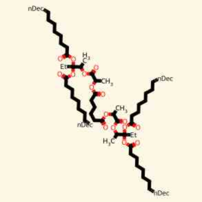 CCCCCCCCCCCCCCCCCC(=O)OC(CC)(OC(=O)CCCCCCCCCCCCCCCCC)C(C)OC(=O)C(C)OC(=O)CCCCC(=O)OC(C)C(=O)OC(C)C(CC)(OC(=O)CCCCCCCCCCCCCCCCC)OC(=O)CCCCCCCCCCCCCCCCC